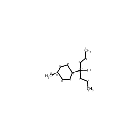 CCCC(F)(CCC)[C@H]1CC[C@@H](C)CC1